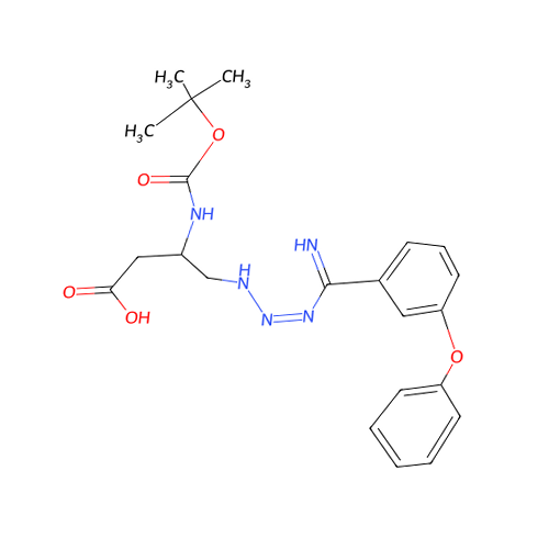 CC(C)(C)OC(=O)NC(CN/N=N\C(=N)c1cccc(Oc2ccccc2)c1)CC(=O)O